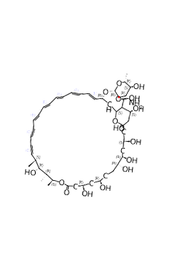 C[C@@H]1[C@H](O)[C@@H](C)/C=C/C=C/C=C/C=C/C=C/C=C/C=C/[C@H](O[C@H]2C[C@@H](N)[C@H](O)[C@@H](C)O2)C[C@@H]2O[C@](O)(C[C@@H](O)C[C@@H](O)[C@H](O)CC[C@@H](O)C[C@@H](O)CC(=O)O[C@H]1C)C[C@H](O)C2C(=O)O